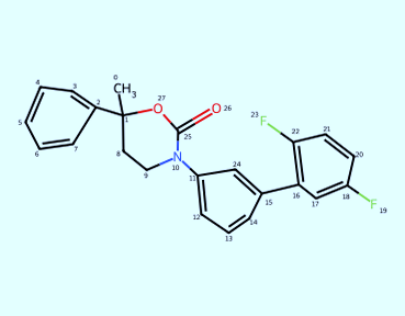 CC1(c2ccccc2)CCN(c2cccc(-c3cc(F)ccc3F)c2)C(=O)O1